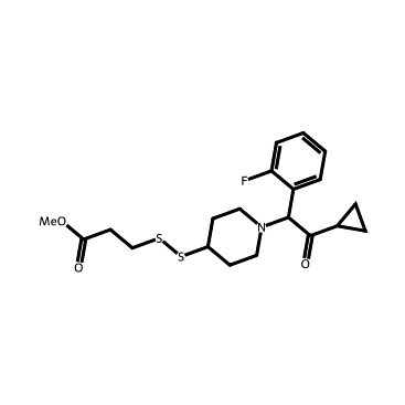 COC(=O)CCSSC1CCN(C(C(=O)C2CC2)c2ccccc2F)CC1